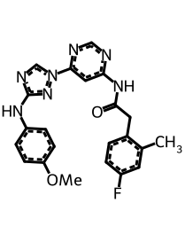 COc1ccc(Nc2ncn(-c3cc(NC(=O)Cc4ccc(F)cc4C)ncn3)n2)cc1